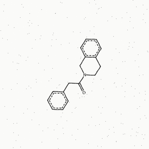 O=C(Cc1ccccc1)N1CCc2ccccc2C1